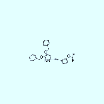 FC(F)Oc1cccc(C#Cc2cc(OCc3ccccc3)c(OCc3ccccc3)nn2)c1